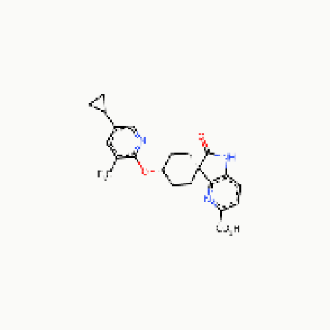 O=C(O)c1ccc2c(n1)[C@]1(CC[C@@H](Oc3ncc(C4CC4)cc3C(F)(F)F)CC1)C(=O)N2